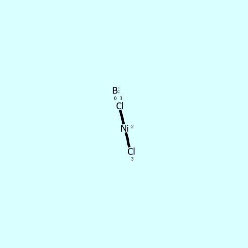 [B].[Cl][Ni][Cl]